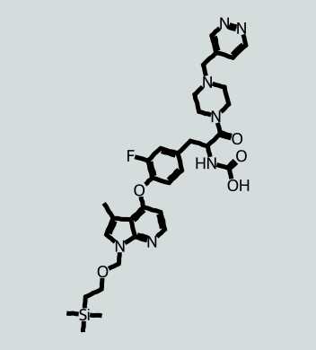 Cc1cn(COCC[Si](C)(C)C)c2nccc(Oc3ccc(CC(NC(=O)O)C(=O)N4CCN(Cc5ccnnc5)CC4)cc3F)c12